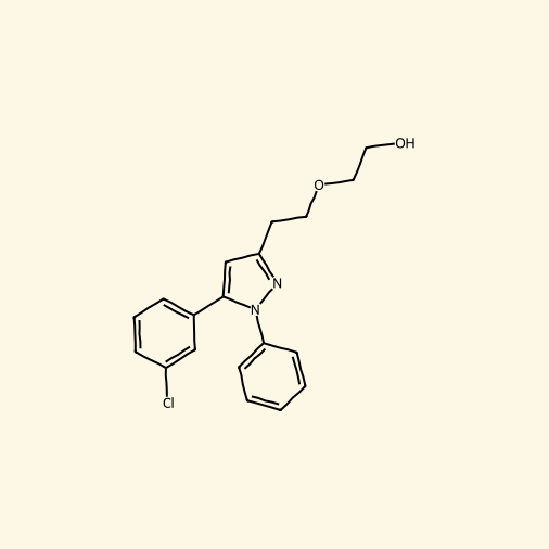 OCCOCCc1cc(-c2cccc(Cl)c2)n(-c2ccccc2)n1